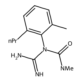 CCCc1cccc(C)c1N(C(=N)N)C(=O)NC